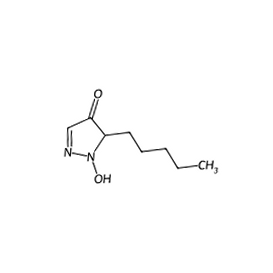 CCCCCC1C(=O)C=NN1O